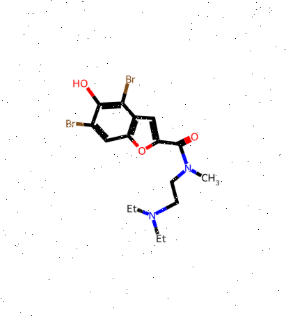 CCN(CC)CCN(C)C(=O)c1cc2c(Br)c(O)c(Br)cc2o1